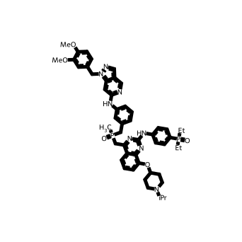 CCP(=O)(CC)c1ccc(Nc2nc(CP(C)(=O)Cc3cccc(Nc4cc5c(cn4)cnn5Cc4ccc(OC)c(OC)c4)c3)c3cccc(OC4CCN(C(C)C)CC4)c3n2)cc1